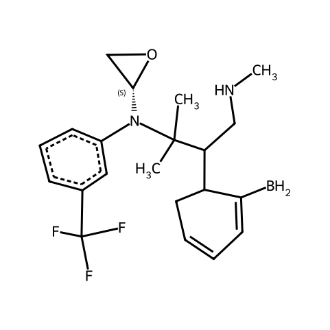 BC1=CC=CCC1C(CNC)C(C)(C)N(c1cccc(C(F)(F)F)c1)[C@@H]1CO1